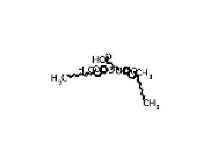 CCCCCCCCCC1(C)CCc2cc(OCC(CCC(=O)O)Oc3ccc4c(c3)CCC(C)(CCCCCCCCC)O4)ccc2O1